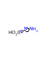 Nc1ccc(C2CN(C(=O)O)C2)nc1